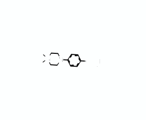 C[Si]1(C)CCN(c2ccc(C(=O)O)cc2)CC1